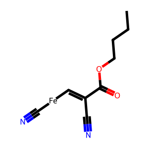 CCCCOC(=O)C(C#N)=[CH][Fe][C]#N